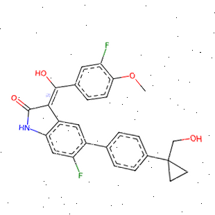 COc1ccc(/C(O)=C2/C(=O)Nc3cc(F)c(-c4ccc(C5(CO)CC5)cc4)cc32)cc1F